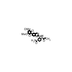 C=CC(=O)N[C@H]1CC[C@H](C(N)=O)C[C@H]1Nc1ncc2cc(-c3c(Cl)c(OC)cc(OC)c3Cl)ccc2n1